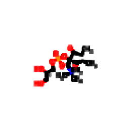 CCC(=O)C(C[N+](C)(C)C)(OP(=O)([O-])OC[C@H](O)CO)C(=O)CC